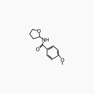 COc1[c]cc(C(=O)NC2CCCO2)cc1